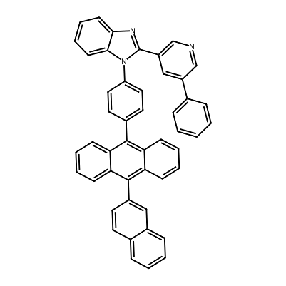 c1ccc(-c2cncc(-c3nc4ccccc4n3-c3ccc(-c4c5ccccc5c(-c5ccc6ccccc6c5)c5ccccc45)cc3)c2)cc1